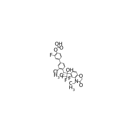 CCN1C(=O)COc2ccc(C(O)(C(C)c3ccc(-c4ccc(OC(=O)O)c(F)c4)cc3Cl)C(F)(F)F)cc21